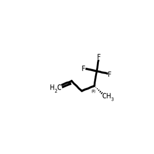 C=CC[C@@H](C)C(F)(F)F